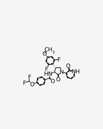 COc1cc(F)c([C@@H]2CN(c3ccc[nH]c3=O)C(=O)[C@H]2NC(=O)c2ccc(OC(F)F)cc2)c(F)c1